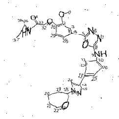 COc1cc(-c2nnc(Nc3ccc(-c4cnn(C5CCCCO5)c4)cc3)o2)ccc1OCC(=O)NC(C)C